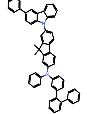 CC1(C)c2cc(N(c3ccccc3)c3cccc(-c4ccccc4-c4ccccc4)c3)ccc2-c2ccc(-n3c4ccccc4c4cc(-c5ccccc5)ccc43)cc21